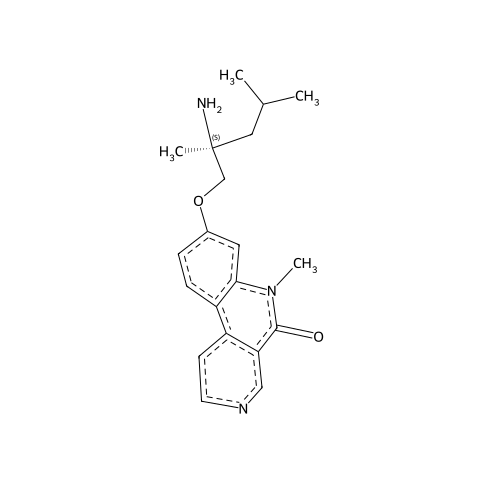 CC(C)C[C@](C)(N)COc1ccc2c3ccncc3c(=O)n(C)c2c1